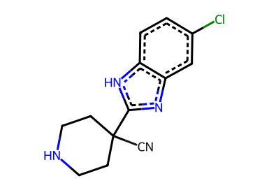 N#CC1(c2nc3cc(Cl)ccc3[nH]2)CCNCC1